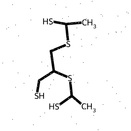 CC(S)SCC(CS)SC(C)S